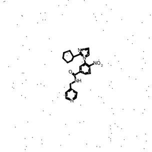 O=C(NCc1ccncc1)c1ccc([N+](=O)[O-])c(-n2ccnc2C2CCCCC2)c1